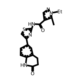 CCn1ncc(C(=O)Nc2nc(-c3ccc4c(c3)CCC(=O)N4)cs2)c1C